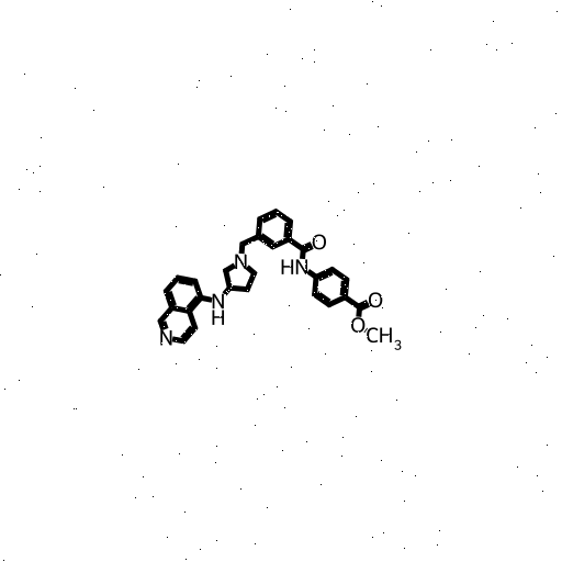 COC(=O)c1ccc(NC(=O)c2cccc(CN3CCC(Nc4cccc5cnccc45)C3)c2)cc1